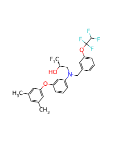 Cc1cc(C)cc(Oc2cccc(N(Cc3cccc(OC(F)(F)C(F)F)c3)C[C@@H](O)C(F)(F)F)c2)c1